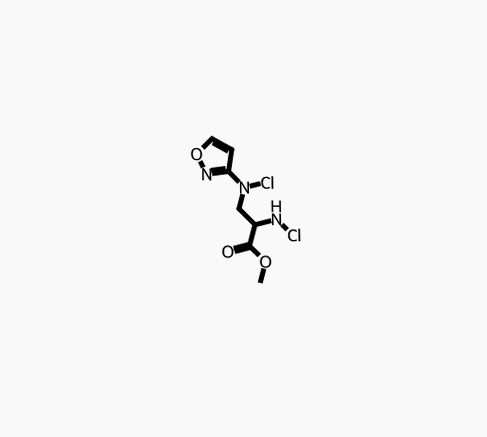 COC(=O)C(CN(Cl)c1ccon1)NCl